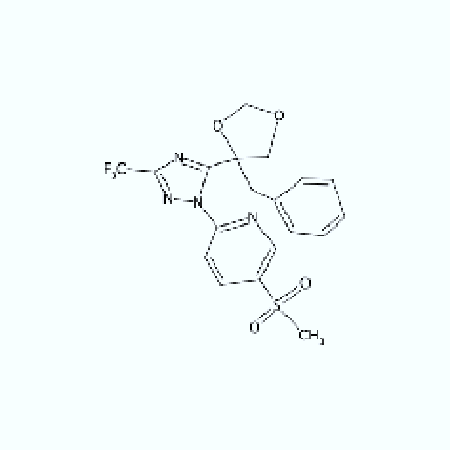 CS(=O)(=O)c1ccc(-n2nc(C(F)(F)F)nc2C2(Cc3ccccc3)COCO2)nc1